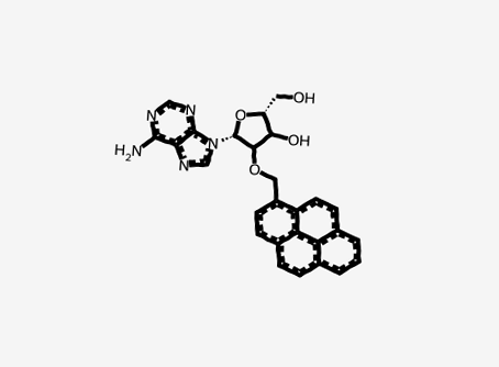 Nc1ncnc2c1ncn2[C@@H]1O[C@H](CO)C(O)C1OCc1ccc2ccc3cccc4ccc1c2c34